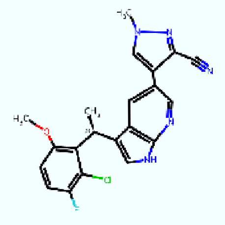 COc1ccc(F)c(Cl)c1[C@@H](C)c1c[nH]c2ncc(-c3cn(C)nc3C#N)cc12